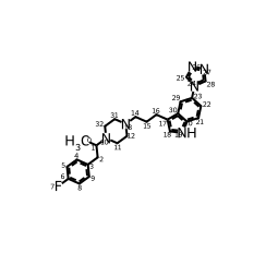 CC(Cc1ccc(F)cc1)N1CCN(CCCc2c[nH]c3ccc(-n4cnnc4)cc23)CC1